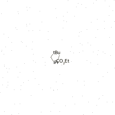 CC(C)CC(C)(C)C.CCOC(C)=O